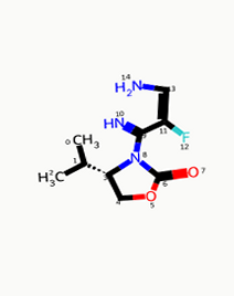 CC(C)[C@H]1COC(=O)N1C(=N)/C(F)=C\N